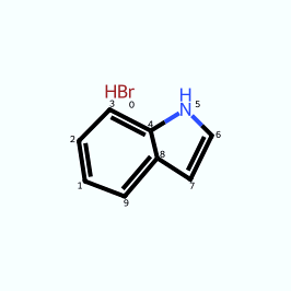 Br.c1ccc2[nH]ccc2c1